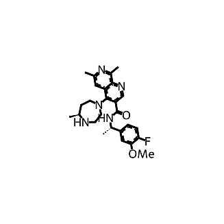 COc1cc([C@H](C)NC(=O)c2cnc3c(C)nc(C)cc3c2N2CCN[C@@H](C)CC2)ccc1F